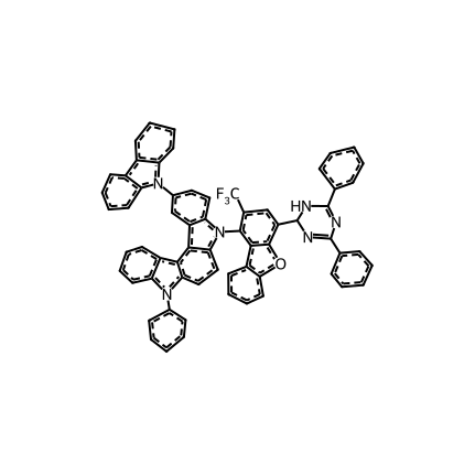 FC(F)(F)c1cc(C2N=C(c3ccccc3)N=C(c3ccccc3)N2)c2oc3ccccc3c2c1-n1c2ccc(-n3c4ccccc4c4ccccc43)cc2c2c3c4ccccc4n(-c4ccccc4)c3ccc21